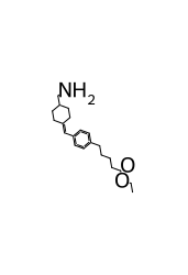 CCOC(=O)CCCCc1ccc(C=C2CCC(CN)CC2)cc1